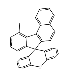 Cc1cccc2c1-c1c(ccc3ccccc13)C21c2ccccc2Oc2ccccc21